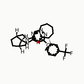 COc1cc(N2C[C@H]3CC[C@@H](C2)[C@H]3Nc2nc3n(n2)CCCC[C@@H]3c2cccc(C(F)(F)F)c2)cnn1